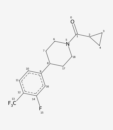 O=C(C1CC1)N1CCC(c2ccc(C(F)(F)F)c(F)c2)CC1